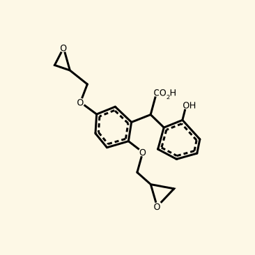 O=C(O)C(c1ccccc1O)c1cc(OCC2CO2)ccc1OCC1CO1